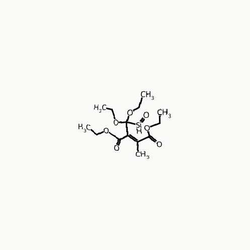 CCOC(=O)C(C)=C(C(=O)OCC)C(OCC)(OCC)[SiH]=O